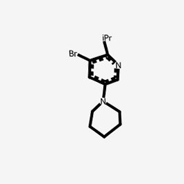 CC(C)c1ncc(N2CCCCC2)cc1Br